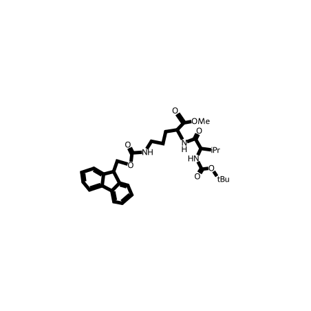 COC(=O)C(CCCNC(=O)OCC1c2ccccc2-c2ccccc21)NC(=O)C(NC(=O)OC(C)(C)C)C(C)C